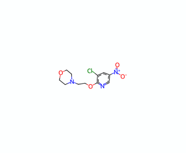 O=[N+]([O-])c1cnc(OCCN2CCOCC2)c(Cl)c1